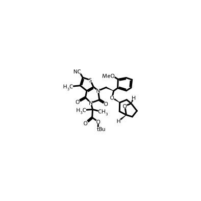 COc1ccccc1[C@H](Cn1c(=O)n(C(C)(C)C(=O)OC(C)(C)C)c(=O)c2c(C)c(C#N)sc21)O[C@@H]1C[C@H]2CC[C@@H](C1)O2